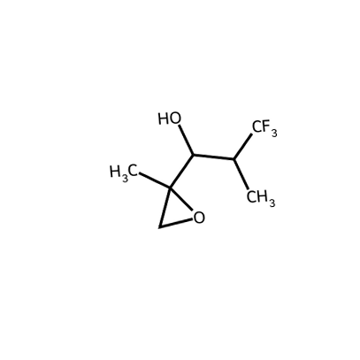 CC(C(O)C1(C)CO1)C(F)(F)F